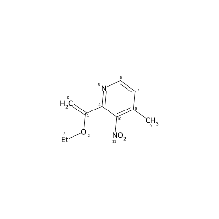 C=C(OCC)c1nccc(C)c1[N+](=O)[O-]